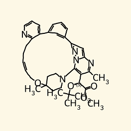 COC(=O)[C@@H](OC(C)(C)C)c1c(C)nc2cc3nn2c1N1CCC(C)(CC1)OCC=CCCc1ncccc1-c1cccc-3c1